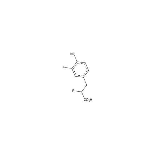 N#Cc1ccc(CC(F)C(=O)O)cc1F